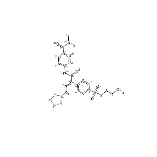 COCCCS(=O)(=O)c1ccc(/C(=N\OC2CCCC2)C(=O)Nc2cnc(C(=O)N(C)C)cn2)cc1